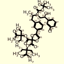 CCC(CC)(OC(=O)C1(C(=O)OC(CC)(CC)C(N)=O)OC=C(c2cccc(C[C@@H](C)N(C[C@@H](O)c3cccc(Cl)c3)C(=O)OC(C)(C)C)c2)O1)C(N)=O